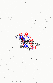 CCC(CO)OC(COC(=O)CCCC(=O)NC(C)C(=O)OCCCNC(=O)[C@H](Cc1ccccc1)NC(=O)[C@H](C)[C@@H](OC)[C@@H]1CCCN1C(=O)C[C@@H](OC)[C@H]([C@@H](C)CC)N(C)C(=O)[C@@H](NC(=O)[C@@H](N)C(C)C)C(C)C)OC